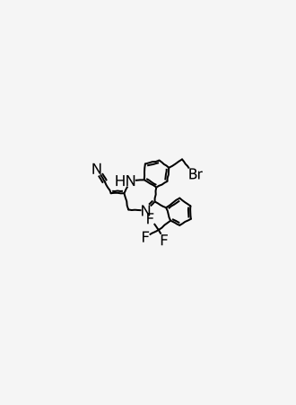 N#CC=C1CN=C(c2ccccc2C(F)(F)F)c2cc(CBr)ccc2N1